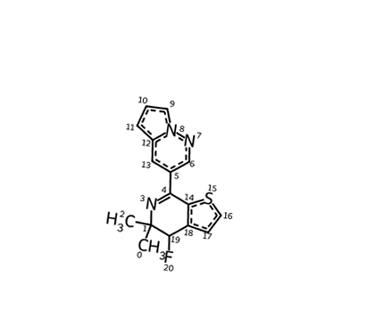 CC1(C)N=C(c2cnn3cccc3c2)c2sccc2C1F